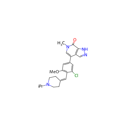 COc1cc(-c2cn(C)c(=O)c3[nH]ncc23)cc(Cl)c1C=C1CCN(C(C)C)CC1